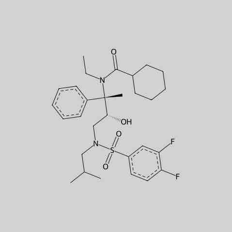 CCN(C(=O)C1CCCCC1)[C@@](C)(c1ccccc1)[C@H](O)CN(CC(C)C)S(=O)(=O)c1ccc(F)c(F)c1